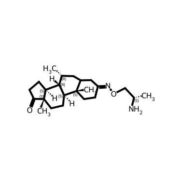 C[C@H](N)CON=C1CC[C@@]2(C)C(C1)C[C@@H](C)[C@@H]1[C@@H]2CC[C@]2(C)C(=O)CC[C@@H]12